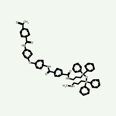 CNCCC[Si](O[Si](CCCNC(=O)c1ccc(C(=O)Nc2ccc(Oc3ccc(NC(=O)c4ccc(C(C)=O)cc4)cc3)cc2)cc1)(c1ccccc1)c1ccccc1)(c1ccccc1)c1ccccc1